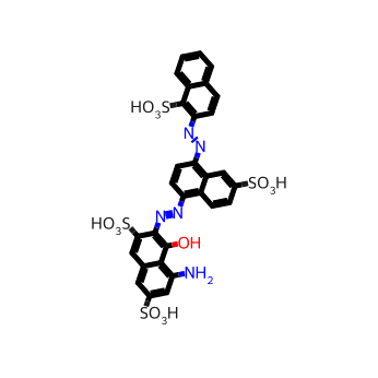 Nc1cc(S(=O)(=O)O)cc2cc(S(=O)(=O)O)c(N=Nc3ccc(N=Nc4ccc5ccccc5c4S(=O)(=O)O)c4cc(S(=O)(=O)O)ccc34)c(O)c12